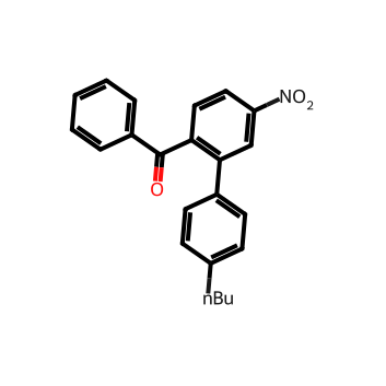 CCCCc1ccc(-c2cc([N+](=O)[O-])ccc2C(=O)c2ccccc2)cc1